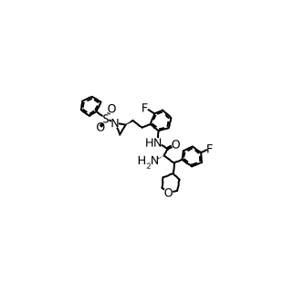 N[C@H](C(=O)Nc1cccc(F)c1CC[C@H]1CN1S(=O)(=O)c1ccccc1)C(c1ccc(F)cc1)C1CCOCC1